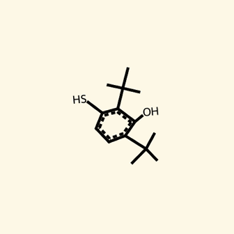 CC(C)(C)c1ccc(S)c(C(C)(C)C)c1O